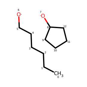 CCCCCC[O].[O]C1CCCC1